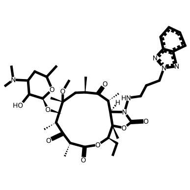 CC[C@H]1OC(=O)[C@H](C)C(=O)[C@H](C)[C@@H](O[C@@H]2OC(C)CC(N(C)C)C2O)[C@](C)(OC)C[C@@H](C)C(=O)[C@H](C)[C@H]2N(NCCCn3nc4ccccc4n3)C(=O)O[C@]12C